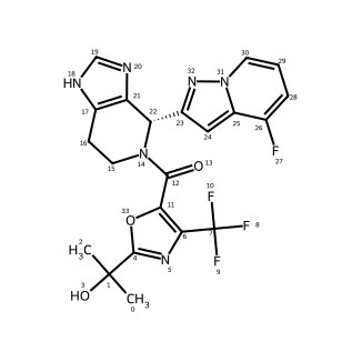 CC(C)(O)c1nc(C(F)(F)F)c(C(=O)N2CCc3[nH]cnc3[C@@H]2c2cc3c(F)cccn3n2)o1